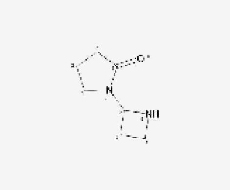 O=C1CCCN1C1CCN1